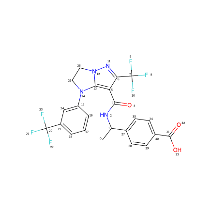 CC(NC(=O)c1c(C(F)(F)F)nn2c1N(c1cccc(C(F)(F)F)c1)CC2)c1ccc(C(=O)O)cc1